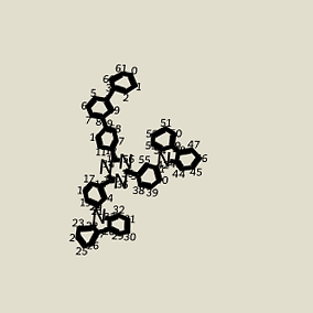 c1ccc(-c2cccc(-c3ccc(-c4nc(-c5cccc(-n6c7ccccc7c7ccccc76)c5)nc(-c5cccc(-n6c7ccccc7c7ccccc76)c5)n4)cc3)c2)cc1